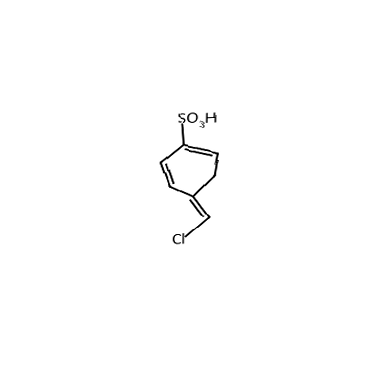 O=S(=O)(O)C1=CCC(=CCl)C=C1